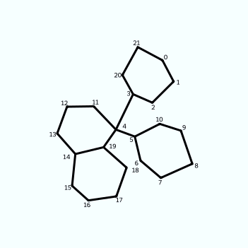 C1CCC(C2(C3CCCCC3)CCCC3CCCCC32)CC1